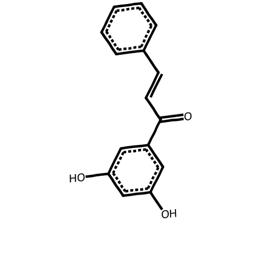 O=C(C=Cc1ccccc1)c1cc(O)cc(O)c1